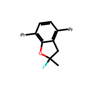 CC(C)c1ccc(C(C)C)c2c1CC(C)(F)O2